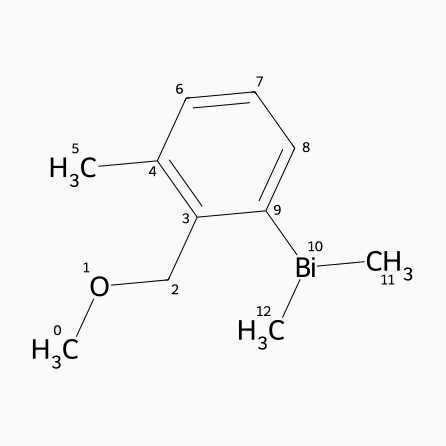 COCc1c(C)ccc[c]1[Bi]([CH3])[CH3]